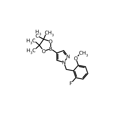 COc1cccc(F)c1Cn1cc(B2OC(C)(C)C(C)(C)O2)cn1